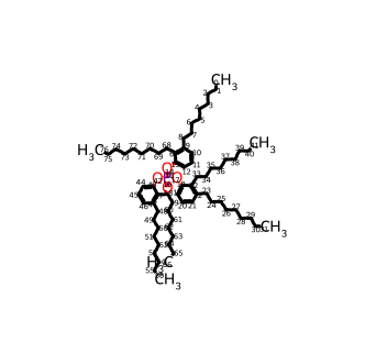 CCCCCCCCCc1cccc(OP(=O)(Oc2cccc(CCCCCCCCC)c2CCCCCCCCC)Oc2cccc(CCCCCCCCC)c2CCCCCCCCC)c1CCCCCCCCC